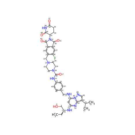 CC[C@@H](CO)Nc1cc(NCc2ccc(NC(=O)N3CCN(Cc4cc5c(cc4F)C(=O)N(C4CCC(=O)NC4=O)C5=O)CC3)cc2)n2ncc(C(C)C)c2n1